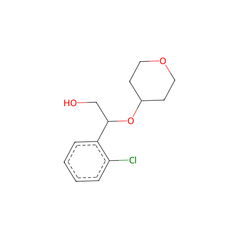 OCC(OC1CCOCC1)c1ccccc1Cl